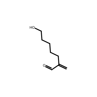 C=C([C]=O)CCCCCO